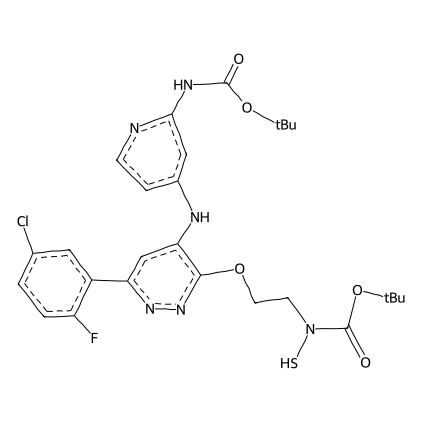 CC(C)(C)OC(=O)Nc1cc(Nc2cc(-c3cc(Cl)ccc3F)nnc2OCCN(S)C(=O)OC(C)(C)C)ccn1